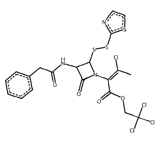 CC(Cl)=C(C(=O)OCC(Cl)(Cl)Cl)N1C(=O)C(NC(=O)Cc2ccccc2)C1SSc1nccs1